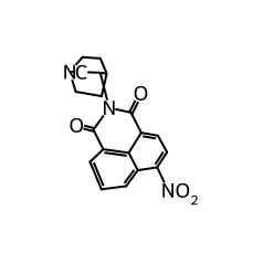 O=C1c2cccc3c([N+](=O)[O-])ccc(c23)C(=O)N1C1CN2CCC1CC2